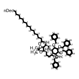 CCCCCCCCCCCCCCCCCCCCCCCCCC(=O)N[C@@H](CN[C@H]1C[C@H](OCc2ccccc2)[C@@H](OCc2ccccc2)[C@H](OCc2ccccc2)[C@H]1OCc1ccccc1)[C@@H]1OC(C)(C)O[C@@H]1CCCCCCCCCCCCCC